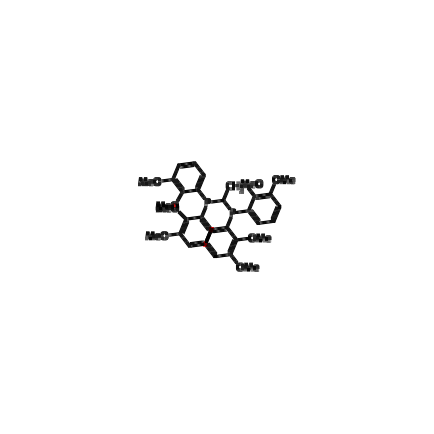 COc1cccc(P(c2cccc(OC)c2OC)C(C)P(c2cccc(OC)c2OC)c2cccc(OC)c2OC)c1OC